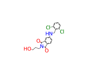 O=C1c2ccc(NCc3c(Cl)cccc3Cl)cc2C(=O)N1CCCO